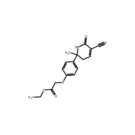 CCOC(=O)COc1ccc(C2(C)CC=C(C#N)C(=O)N2)cc1